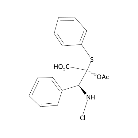 CC(=O)O[C@@](Sc1ccccc1)(C(=O)O)[C@@H](NCl)c1ccccc1